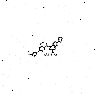 CNC(=O)c1cc2cc(C3=CCOC3)ccc2c(N2CCCc3cc(-c4cnn(C)c4)c(C)cc32)n1